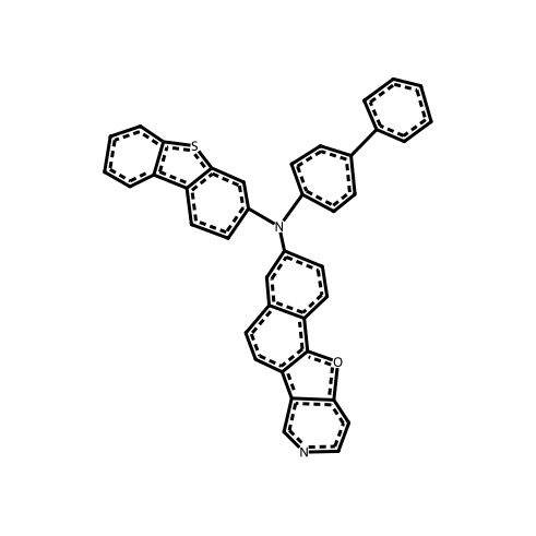 c1ccc(-c2ccc(N(c3ccc4c(ccc5c6cnccc6oc45)c3)c3ccc4c(c3)sc3ccccc34)cc2)cc1